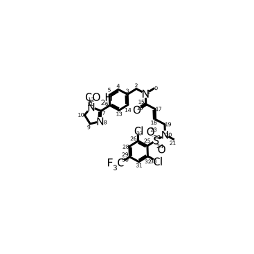 CN(Cc1ccc(C2=NCCN2C(=O)O)cc1)C(=O)C=CCN(C)S(=O)(=O)c1c(Cl)cc(C(F)(F)F)cc1Cl